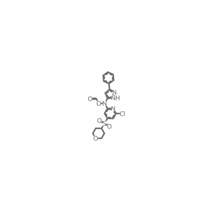 O=CON(c1cc(S(=O)(=O)C2CCOCC2)cc(Cl)n1)c1cc(-c2ccccc2)n[nH]1